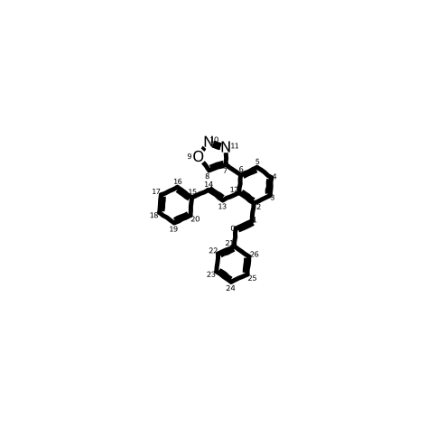 C(=C\c1cccc(-c2conn2)c1/C=C/c1ccccc1)/c1ccccc1